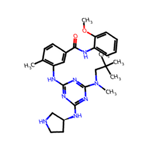 COc1ccccc1NC(=O)c1ccc(C)c(Nc2nc(N[C@H]3CCNC3)nc(N(C)CC(C)(C)C)n2)c1